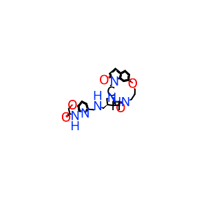 O=C1COc2ccc(CNC[C@@H]3C[C@H]4C(=O)NCCCOc5ccc6ccc(=O)n(c6c5)CCN4C3)nc2N1